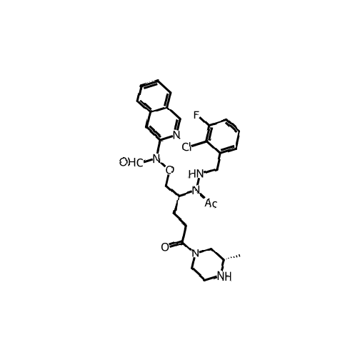 CC(=O)N(NCc1cccc(F)c1Cl)[C@@H](CCC(=O)N1CCN[C@@H](C)C1)CON(C=O)c1cc2ccccc2cn1